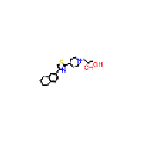 OC[C@@H](O)CN1CCC(c2nc(-c3ccc4c(c3)CCCC4)cs2)CC1